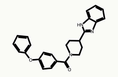 O=C(c1ccc(Oc2ccccc2)cc1)N1CCC(c2nc3ccccc3[nH]2)CC1